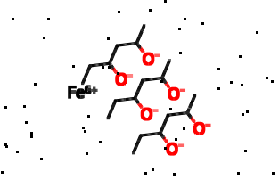 CCC([O-])CC(C)[O-].CCC([O-])CC(C)[O-].CCC([O-])CC(C)[O-].[Fe+6]